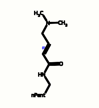 CCCCCCNC(=O)/C=C/CN(C)C